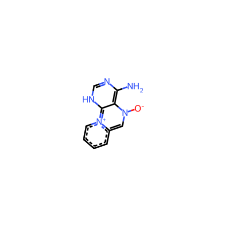 NC1=C2C(=[n+]3ccccc3=CN2[O-])NC=N1